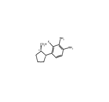 Nc1ccc(N2CCC[C@H]2C(=O)O)c(F)c1N